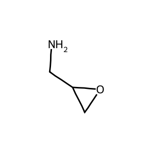 NCC1CO1